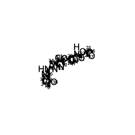 CN1CCn2nc(Nc3nc4ncc(Oc5ccnc(NC(=O)O[C@H]6CCOC6)c5)c(Cl)c4n3C)cc2C1=O